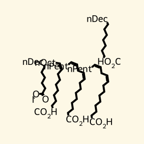 CCCCC/C=C\C/C=C\CCCCCCCC(=O)O.CCCCC/C=C\C/C=C\CCCCCCCC(=O)O.CCCCCCCC/C=C\CCCCCCCC(=O)O.CCCCCCCCCCCCCCCC(=O)OI.CCCCCCCCCCCCCCCCCC(=O)O